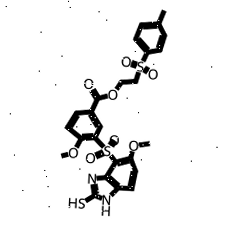 COc1ccc(C(=O)OCCS(=O)(=O)c2ccc(C)cc2)cc1S(=O)(=O)c1c(OC)ccc2[nH]c(S)nc12